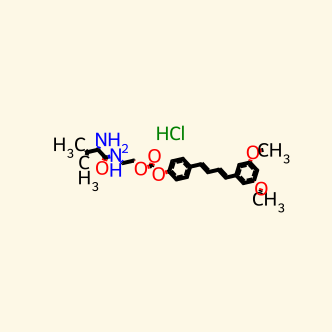 COc1cc(/C=C/C=C/c2ccc(OC(=O)OCCNC(=O)C(N)C(C)C)cc2)cc(OC)c1.Cl